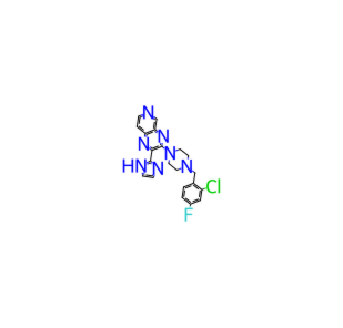 Fc1ccc(CN2CCN(c3nc4cnccc4nc3-c3ncc[nH]3)CC2)c(Cl)c1